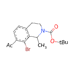 CC(=O)c1ccc2c(c1Br)C(C)N(C(=O)OC(C)(C)C)CC2